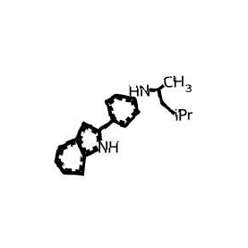 CC(C)CC(C)Nc1ccc(-c2cc3ccccc3[nH]2)cc1